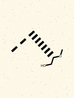 C=C.C=C.C=C.C=C.C=C.C=C.C=C.C=C.C=C.COCCO